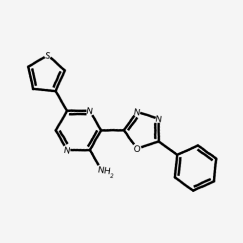 Nc1ncc(-c2ccsc2)nc1-c1nnc(-c2ccccc2)o1